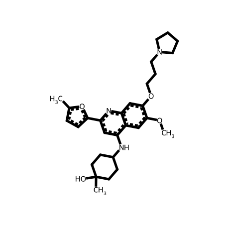 COc1cc2c(NC3CCC(C)(O)CC3)cc(-c3ccc(C)o3)nc2cc1OCCCN1CCCC1